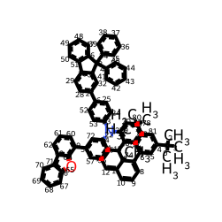 CC(C)(C)c1cc(C2=CC=CC3=CC=CC(c4ccccc4N(c4ccc(-c5ccc6c(c5)C(c5ccccc5)(c5ccccc5)c5ccccc5-6)cc4)c4cccc(-c5cccc6c5oc5ccccc56)c4)C32C)cc(C(C)(C)C)c1